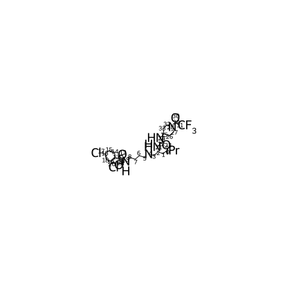 CC(C)C[C@@H](CNCCCCNS(=O)(=O)c1ccc(Cl)cc1Cl)NC(=O)NC1CCN(C(=O)C(F)(F)F)CC1